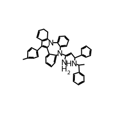 Cc1ccc(-c2c3c(n4c2-c2ccccc2N(/C(N)=C/C(NC(C)c2ccccc2)c2ccccc2)c2ccccc2-4)CCC=C3)cc1